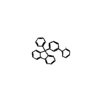 [c]1ccccc1-c1cccc(C2(c3ccccc3)c3ccccc3-c3ccccc32)c1